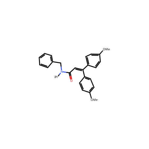 COc1ccc(C(=CC(=O)N(Cc2ccccc2)C(C)C)c2ccc(OC)cc2)cc1